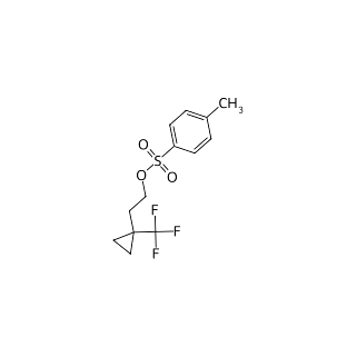 Cc1ccc(S(=O)(=O)OCCC2(C(F)(F)F)CC2)cc1